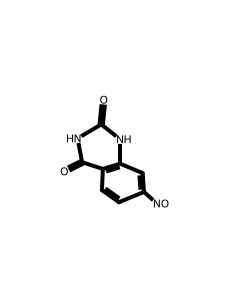 O=Nc1ccc2c(=O)[nH]c(=O)[nH]c2c1